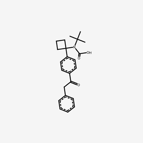 CC(C)(C)N(C(=O)O)C1(c2ccc(C(=O)Cc3ccccc3)cc2)CCC1